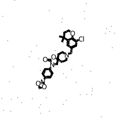 CC1(C)CCOc2c(Cl)cc(CN3CCC4(CC3)CN(c3ccc(N5OCO5)cc3)C(=O)O4)cc21